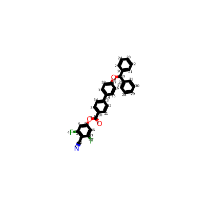 N#Cc1c(F)cc(OC(=O)c2ccc(-c3ccc(OC(c4ccccc4)c4ccccc4)cc3)cc2)cc1F